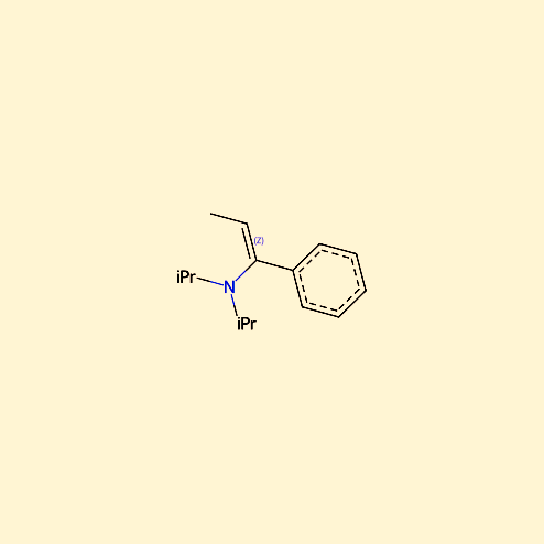 C/C=C(/c1ccccc1)N(C(C)C)C(C)C